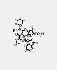 CCN(C(=O)N(C(=O)[C@@H](N)CC(C)C)[C@H](Cc1cn(C)c2ccccc12)c1nc(C(=O)O)c(C)o1)C1CCCCC1